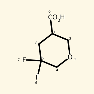 O=C(O)C1COCC(F)(F)C1